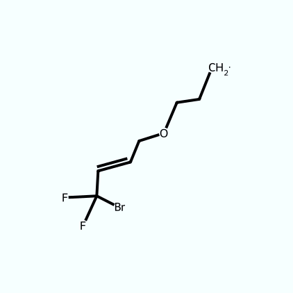 [CH2]CCOCC=CC(F)(F)Br